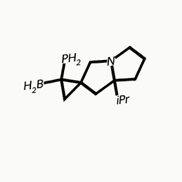 BC1(P)CC12CN1CCCC1(C(C)C)C2